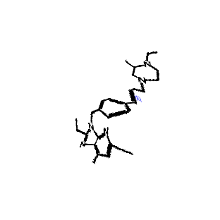 CCc1nc2c(C)cc(C)nc2n1Cc1ccc(/C=C/CN2CCN(CC)C(C)C2)cc1